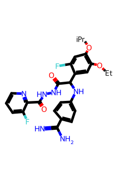 CCOc1cc(C(Nc2ccc(C(=N)N)cc2)C(=O)NNC(=O)c2ncccc2F)c(F)cc1OC(C)C